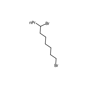 CCCC(Br)CCCCCCBr